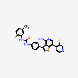 Nc1ncc(-c2ccncc2F)c2scc(-c3ccc(NC(=O)Nc4cc(C(F)(F)F)ccc4F)cc3)c12